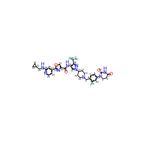 O=C1CCN(c2ccc(CN3CCC(n4cc(NC(=O)c5coc(-c6ccnc(NCC7CC7)c6)n5)c(C(F)F)n4)CC3)c(F)c2)C(=O)N1